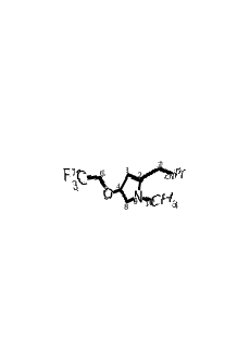 CC(C)CC1CC(OCC(F)(F)F)CN1C